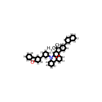 CC1(C)c2cc(-c3ccc4ccccc4c3)ccc2-c2ccc(N(c3cccc(-c4ccc5oc6ccccc6c5c4)c3)c3ccccc3-c3ccccc3)cc21